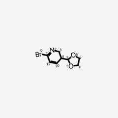 BrC1=NCC(C2OCCO2)C=C1